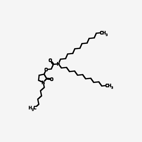 CCCCCCCCCCCCN(CCCCCCCCCCCC)C(=O)COC1CCN(CCCCCC)C1=O